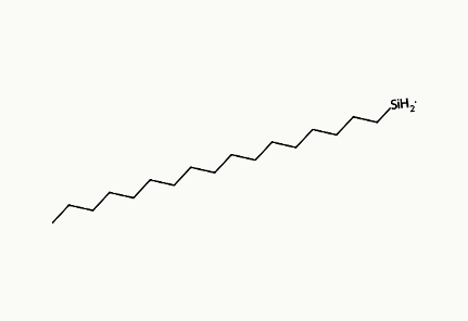 CCCCCCCCCCCCCCCCC[SiH2]